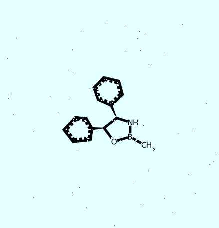 CB1N[C@H](c2ccccc2)[C@H](c2ccccc2)O1